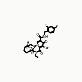 CCN1C(=O)c2c(O)c(=O)c(C(=O)NCc3ccc(F)cc3F)cn2N2C[C@@H]3CCC[C@@H](O3)[C@@H]12